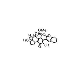 COC[C@H]1OC(=O)C(=CN2CCCCC2)C2=C(O)C(=O)C3=C([C@H](OC(C)=O)C[C@@]4(C)C3CC[C@@H]4O)[C@]21C